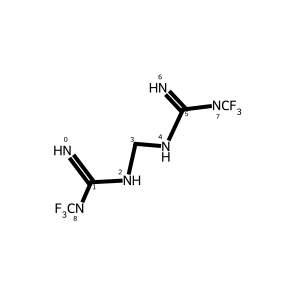 N=C(NCNC(=N)NC(F)(F)F)NC(F)(F)F